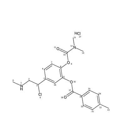 CNCC(Cl)c1ccc(OC(=O)N(C)C)c(OC(=O)c2ccc(C)cc2)c1.Cl